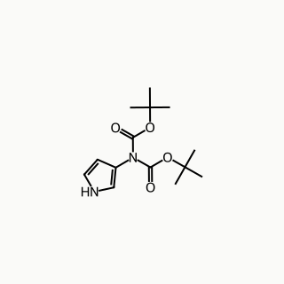 CC(C)(C)OC(=O)N(C(=O)OC(C)(C)C)c1cc[nH]c1